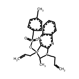 C=CCN1c2nc3ccccc3nc2[N+](CC=C)(OS(=O)(=O)c2ccc(C)cc2)C1C